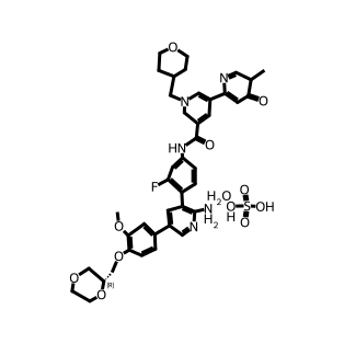 COc1cc(-c2cnc(N)c(-c3ccc(NC(=O)C4=CC(C5=CC(=O)C(C)C=N5)=CN(CC5CCOCC5)C4)cc3F)c2)ccc1OC[C@H]1COCCO1.O.O=S(=O)(O)O